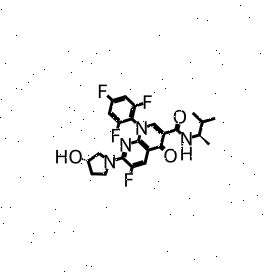 CC(C)[C@@H](C)NC(=O)c1cn(-c2c(F)cc(F)cc2F)c2nc(N3CC[C@H](O)C3)c(F)cc2c1=O